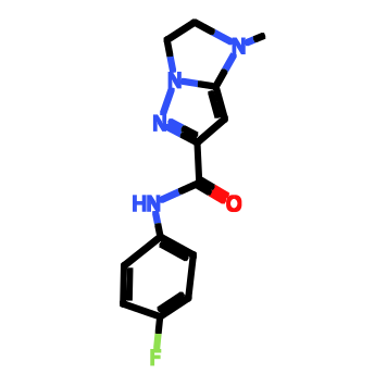 CN1CCn2nc(C(=O)Nc3ccc(F)cc3)cc21